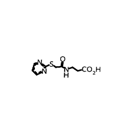 O=C(O)CCNC(=O)CSc1ncccn1